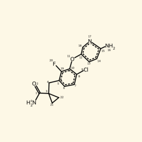 NC(=O)C1([CH]c2ccc(Cl)c(Oc3ccc(N)nc3)c2F)CC1